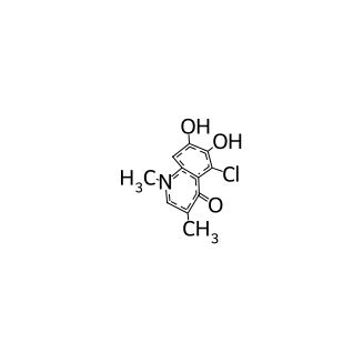 Cc1cn(C)c2cc(O)c(O)c(Cl)c2c1=O